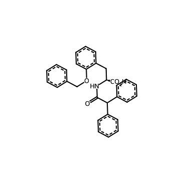 O=C(N[C@@H](Cc1ccccc1OCc1ccccc1)C(=O)O)C(c1ccccc1)c1ccccc1